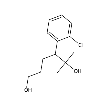 CC(C)(O)C(CCCO)c1ccccc1Cl